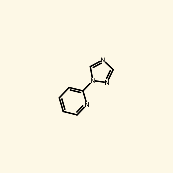 c1ccc(-n2cncn2)nc1